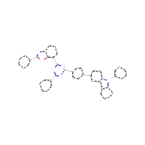 c1ccc(-c2nc(-c3ccc(-c4ccc5c(c4)c4ccccc4n5-c4ccccc4)cc3)nc(-c3cccc4nc(-c5ccccc5)oc34)n2)cc1